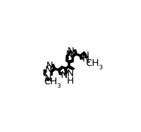 CN1CCn2ncc(-c3cnc4[nH]cc(-c5ccn6ncc(-c7cnn(C)c7)c6c5)c4c3)c2C1